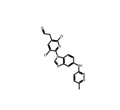 Cc1ccc(Nc2ccc3c(c2)ncn3-c2nc(Cl)c(CC=O)cc2Cl)nn1